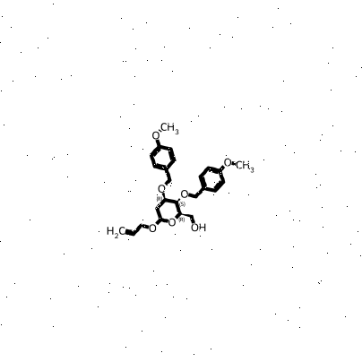 C=CCOC1C[C@@H](OCc2ccc(OC)cc2)[C@H](OCc2ccc(OC)cc2)[C@@H](CO)O1